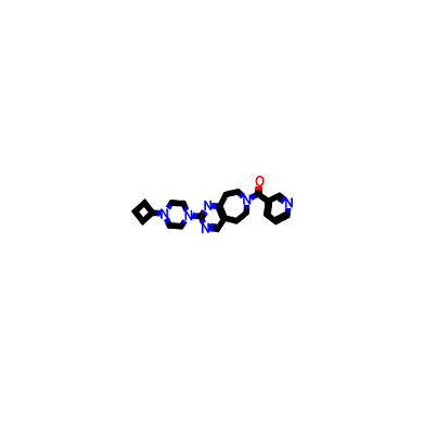 O=C(c1cccnc1)N1CCc2cnc(N3CCN(C4CCC4)CC3)nc2CC1